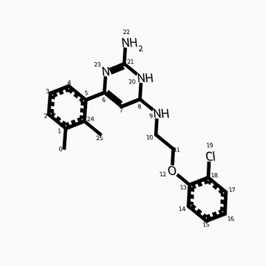 Cc1cccc(C2=CC(NCCOc3ccccc3Cl)NC(N)=N2)c1C